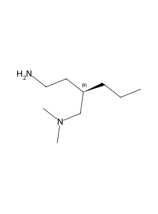 CCC[C@H](CCN)CN(C)C